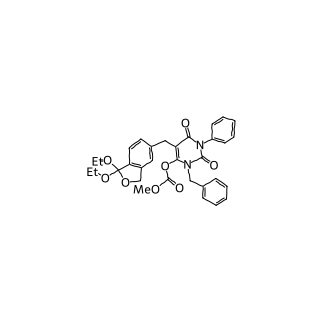 CCOC1(OCC)OCc2cc(Cc3c(OC(=O)OC)n(Cc4ccccc4)c(=O)n(-c4ccccc4)c3=O)ccc21